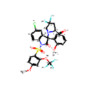 COc1ccc(S(=O)(=O)N2C(=O)C(c3ccccc3OC)(N3CC(F)(F)C[C@H]3C=O)c3cc(Cl)ccc32)c(OC(F)(F)F)c1